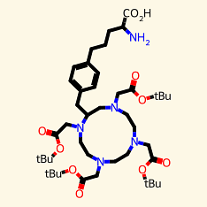 CC(C)(C)OC(=O)CN1CCN(CC(=O)OC(C)(C)C)CCN(CC(=O)OC(C)(C)C)C(Cc2ccc(CCCC(N)C(=O)O)cc2)CN(CC(=O)OC(C)(C)C)CC1